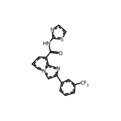 O=C(Nc1nccs1)c1cccn2cc(-c3cccc(C(F)(F)F)c3)nc12